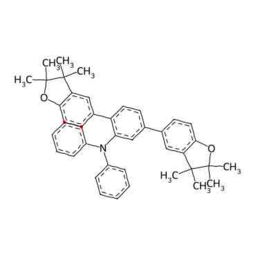 CC1(C)Oc2ccc(-c3ccc(-c4ccc5c(c4)C(C)(C)C(C)(C)O5)c(N(c4ccccc4)c4ccccc4)c3)cc2C1(C)C